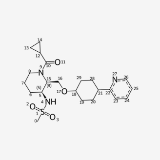 CS(=O)(=O)N[C@H]1CCCN(C(=O)C2CC2)[C@H]1COC1CCC(c2ccccn2)CC1